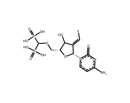 Nc1ccn([C@@H]2O[C@H](COC(P(=O)(O)O)P(=O)(O)O)C(O)/C2=C\F)c(=O)n1